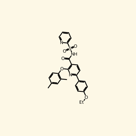 CCOc1ccc(-c2ccc(C(=O)NS(=O)(=O)c3ccccn3)c(Oc3ccc(C)cc3C)n2)cc1